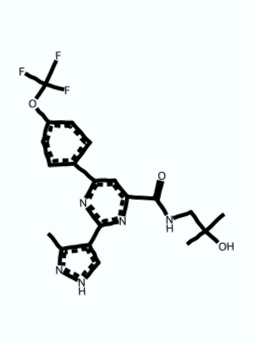 Cc1n[nH]cc1-c1nc(C(=O)NCC(C)(C)O)cc(-c2ccc(OC(F)(F)F)cc2)n1